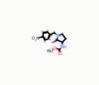 CC(C)(C)OC(=O)NC1CCN(Cc2ccc([N+](=O)[O-])cc2)C1I